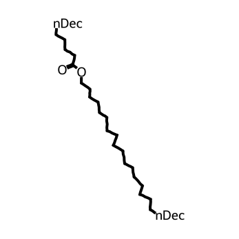 CCCCCCCCCCCCCCCCCCCCCCCCCCCOC(=O)CCCCCCCCCCCCCC